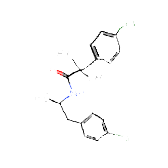 CC(Cc1ccc(Cl)cc1)NC(=O)C(C)(C)c1ccc(Cl)cc1